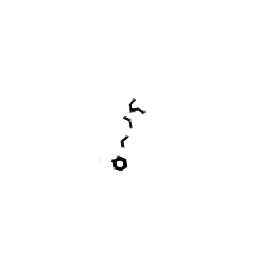 CCCc1c(OCCCSCC2CSC(CCC(=O)OCC)(CCC(=O)OCC)O2)ccc(C(C)=O)c1O